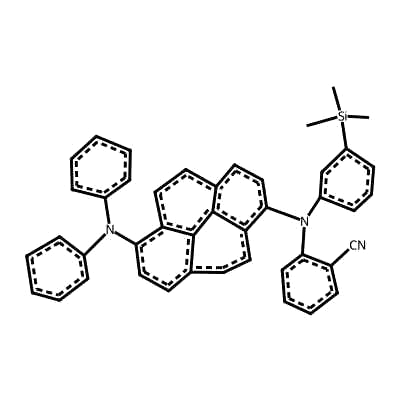 C[Si](C)(C)c1cccc(N(c2ccccc2C#N)c2ccc3ccc4c(N(c5ccccc5)c5ccccc5)ccc5ccc2c3c54)c1